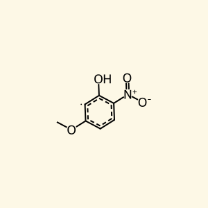 COc1[c]c(O)c([N+](=O)[O-])cc1